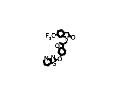 O=C1Cc2ccc(C(F)(F)F)cc2N1Cc1coc2cc(Oc3nc4ncccc4s3)ccc12